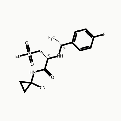 CCS(=O)(=O)C[C@H](N[C@@H](c1ccc(F)cc1)C(F)(F)F)C(=O)NC1(C#N)CC1